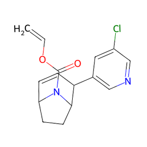 C=COC(=O)N1C2C=CC(c3cncc(Cl)c3)C1CC2